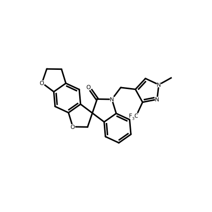 Cn1cc(CN2C(=O)C3(COc4cc5c(cc43)CCO5)c3ccccc32)c(C(F)(F)F)n1